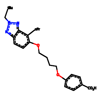 CCCc1c(OCCCCOc2ccc(C(=O)O)cc2)ccc2nn(CC(C)(C)C)nc12